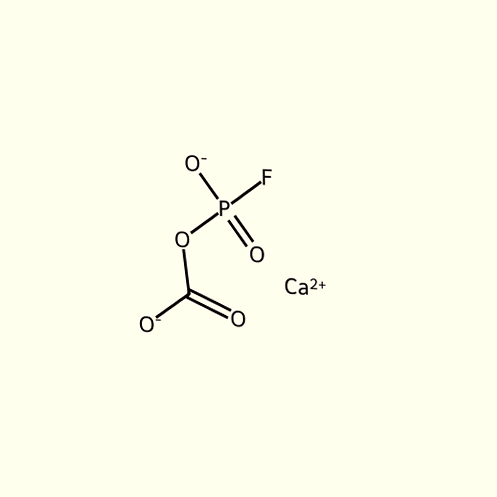 O=C([O-])OP(=O)([O-])F.[Ca+2]